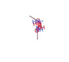 CCCCCCCCCCCCCCCCCC(=O)NCCC[N+](C)(C)CC(O)COc1cccc(OCC(O)C[N+](C)(C)CCCNC(=O)CCCCCCCCCCCCCCCCC)c1